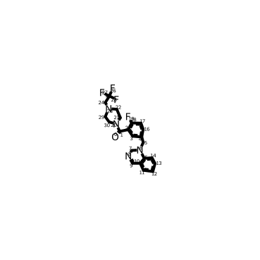 O=C(c1cc(CN2CN=Cc3ccccc32)ccc1F)N1CCN(CC(F)(F)F)CC1